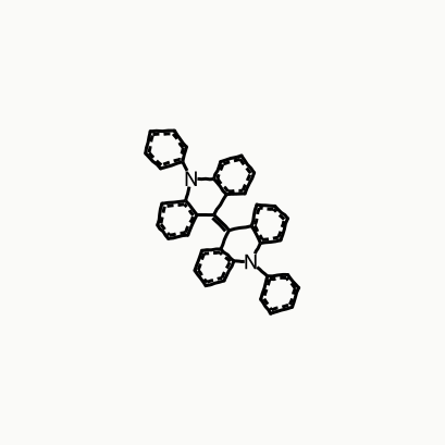 c1ccc(N2c3ccccc3C(=C3c4ccccc4N(c4ccccc4)c4ccccc43)c3ccccc32)cc1